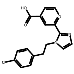 O=C(O)c1ccnc(-c2nccn2CCc2ccc(Cl)cc2)c1